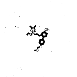 CCO[Si](CCCc1cc(O)ccc1-c1ccc(OCOC)cc1)(OCC)OCC